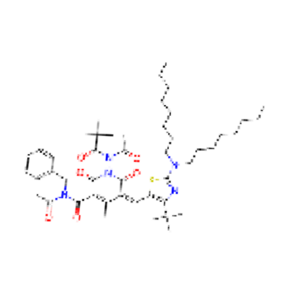 CCCCCCCCN(CCCCCCCC)c1nc(C(C)(C)C)c(/C=C2\C(=O)N(N(C(C)=O)C(=O)C(C)(C)C)C(=O)C(C(=O)N(Cc3ccccc3)C(C)=O)=C2C)s1